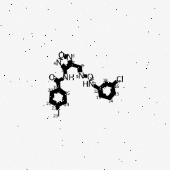 O=C(Nc1nonc1/C=N/ONc1cccc(Cl)c1)c1ccc(I)cc1